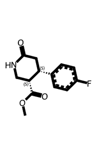 COC(=O)[C@@H]1CNC(=O)C[C@@H]1c1ccc(F)cc1